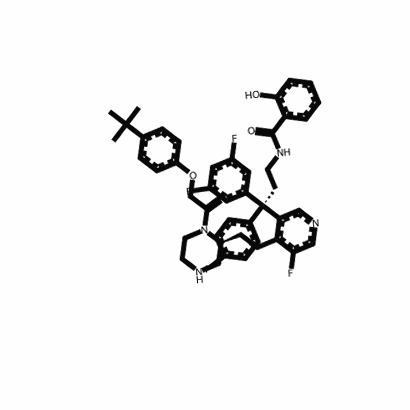 CC(C)(C)c1ccc(OCC(=O)N2CCNC[C@@H]2CCc2c(F)cncc2[C@@](CCNC(=O)c2ccccc2O)(c2ccc(F)cc2)c2cc(F)cc(F)c2)cc1